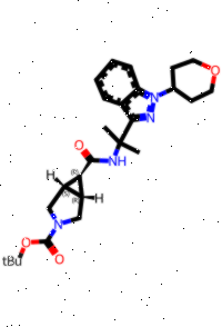 CC(C)(C)OC(=O)N1C[C@@H]2[C@H](C1)[C@H]2C(=O)NC(C)(C)c1nn(C2CCOCC2)c2ccccc12